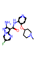 CN1CCC(Oc2ccncc2NC(=O)c2c(N)nn3cc(F)cnc23)CC1